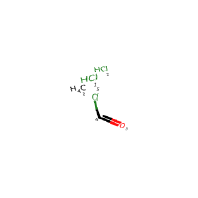 C.Cl.Cl.O=CCl